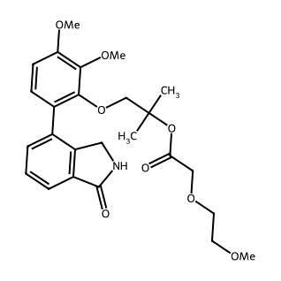 COCCOCC(=O)OC(C)(C)COc1c(-c2cccc3c2CNC3=O)ccc(OC)c1OC